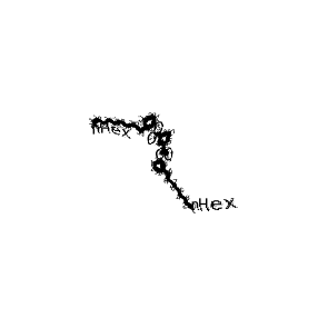 CCCCCC/C=C\CCCCCCCc1cccc(OC(=O)c2cccc(C(=O)Oc3cccc(CCCCCCC/C=C\CCCCCC)c3)c2)c1